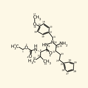 CCOC(=O)N[C@H](C(=O)NN(Cc1ccc(OC)cc1)C(N)CCCc1ccccc1)C(C)C